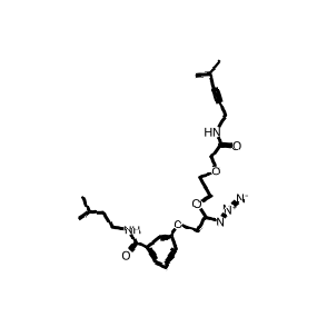 CC(C)C#CCNC(=O)COCCOC(COc1cccc(C(=O)NCCC(C)C)c1)N=[N+]=[N-]